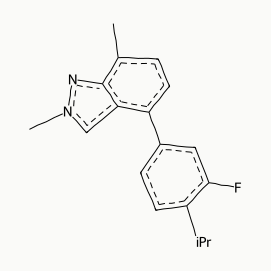 Cc1ccc(-c2ccc(C(C)C)c(F)c2)c2cn(C)nc12